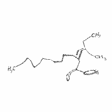 CCCCCCC(C(=O)O)=C(C)CC